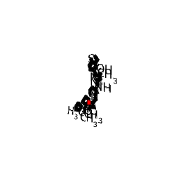 Cc1cc(N[C@@H]2CCCN(CC3CC(O[Si](c4ccccc4)(c4ccccc4)C(C)(C)C)C3)C2)nnc1-c1ccc2sccc2c1O